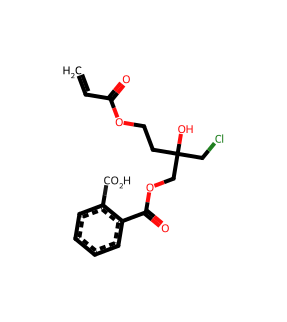 C=CC(=O)OCCC(O)(CCl)COC(=O)c1ccccc1C(=O)O